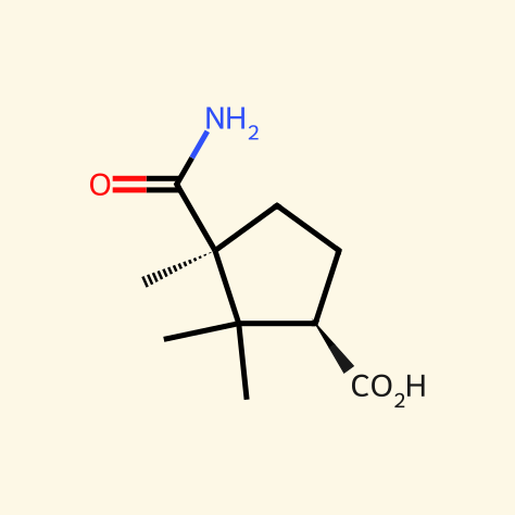 CC1(C)[C@H](C(=O)O)CC[C@]1(C)C(N)=O